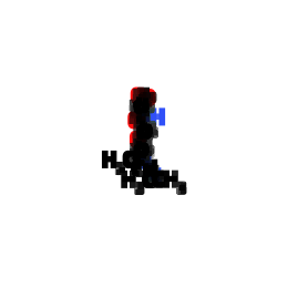 Cc1c(C)n(CCCN(C)C)c2ccc(Oc3cccc(C(=O)Nc4ccc5c(c4)OCO5)c3)cc12